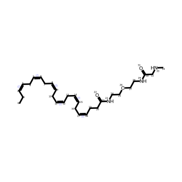 CC/C=C\C/C=C\C/C=C\C/C=C\C/C=C\C/C=C\CCC(=O)NCCOCCNC(=O)CNC